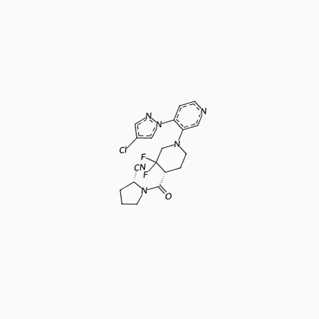 N#C[C@H]1CCCN1C(=O)[C@H]1CCN(c2cnccc2-n2cc(Cl)cn2)CC1(F)F